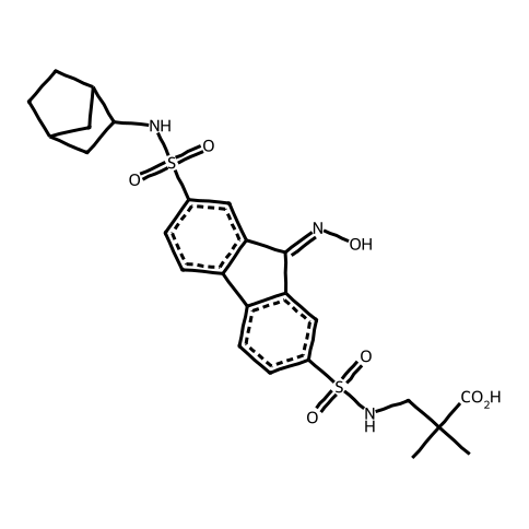 CC(C)(CNS(=O)(=O)c1ccc2c(c1)C(=NO)c1cc(S(=O)(=O)NC3CC4CCC3C4)ccc1-2)C(=O)O